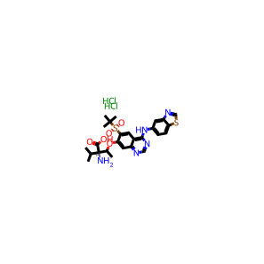 CC(C)[C@@](N)(C(=O)O)C(C)Oc1cc2ncnc(Nc3ccc4scnc4c3)c2cc1S(=O)(=O)C(C)(C)C.Cl.Cl